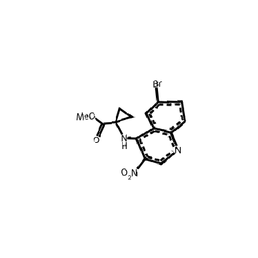 COC(=O)C1(Nc2c([N+](=O)[O-])cnc3ccc(Br)cc23)CC1